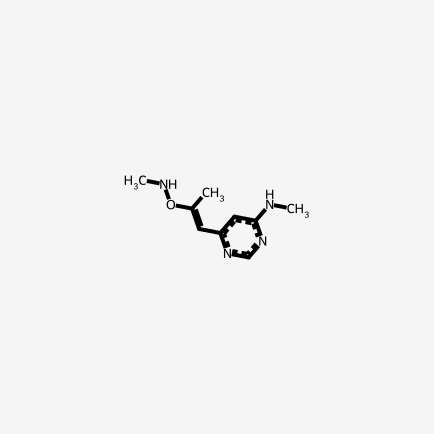 CNO/C(C)=C/c1cc(NC)ncn1